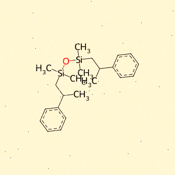 CC(C[Si](C)(C)O[Si](C)(C)CC(C)c1ccccc1)c1ccccc1